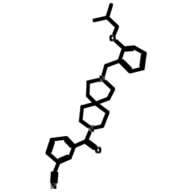 CC(C)COc1ccccc1CN1CCC2(CC1)CCN(C(=O)c1cccc(C#N)c1)CC2